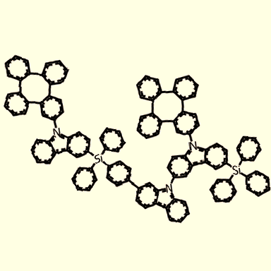 c1ccc([Si](c2ccccc2)(c2ccc(-c3ccc4c5ccccc5n(-c5ccc6c(c5)c5cc([Si](c7ccccc7)(c7ccccc7)c7ccccc7)ccc5n6-c5ccc6c(c5)-c5ccccc5-c5ccccc5-c5ccccc5-6)c4c3)cc2)c2ccc3c(c2)c2ccccc2n3-c2ccc3c(c2)-c2ccccc2-c2ccccc2-c2ccccc2-3)cc1